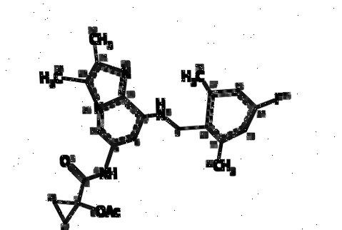 CC(=O)OC1(C(=O)Nc2cc(NCc3c(C)cc(F)cc3C)c3nc(C)c(C)n3c2)CC1